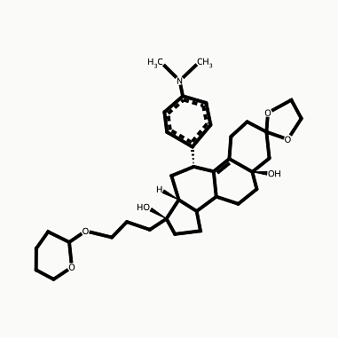 CN(C)c1ccc([C@H]2C[C@@H]3C(CC[C@]3(O)CCCOC3CCCCO3)C3CC[C@@]4(O)CC5(CCC4=C32)OCCO5)cc1